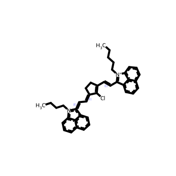 CCCCC[N+]1=C(/C=C/C2=C(Cl)C(=C/C=c3\c4cccc5cccc(c54)n3CCCC)/CC2)c2cccc3cccc1c23